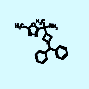 Cc1nnc(C(C)(N)C2CN(C(c3ccccc3)c3ccccc3)C2)o1